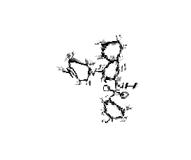 Cc1ccc(S(=O)(=O)Nc2cc3ccccc3c(N3CCN(C)CC3)n2)cc1